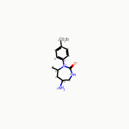 CCOC(=O)c1ccc(N2C(=O)NCC(N)CC2C)cc1